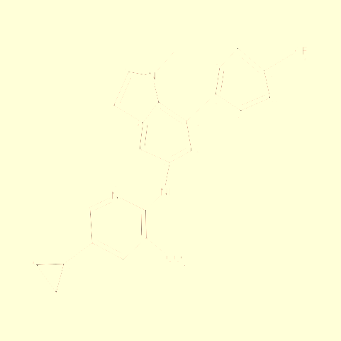 Cn1ccc2cc(Nc3ncc(C4CC4)cc3C(=O)O)cc(-c3ccc(C(F)(F)F)cc3)c21